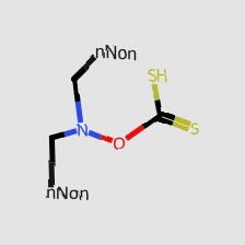 CCCCCCCCCCN(CCCCCCCCCC)OC(=S)S